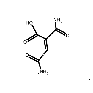 NC(=O)C=C(C(N)=O)C(=O)O